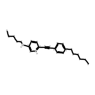 CCCCCCc1ccc(C#Cc2ccc(OCCCCC)cn2)cc1